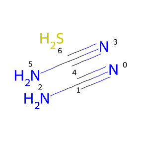 N#CN.N#CN.S